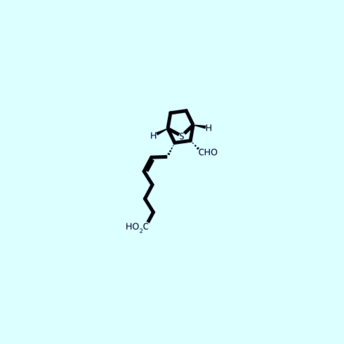 O=C[C@@H]1[C@H](C/C=C\CCCC(=O)O)[C@@H]2CC[C@H]1S2